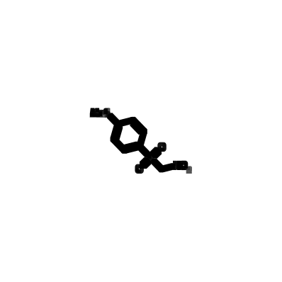 CSc1ccc(S(=O)(=O)C[N+](=O)[O-])cc1